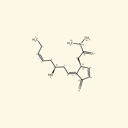 CC/C=C\C[C@H](O)C/C=C1/C(=O)C=C[C@@H]1CC(=O)N(C)C